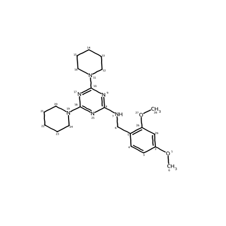 COc1ccc(CNc2nc(N3CCCCC3)nc(N3CCCCC3)n2)c(OC)c1